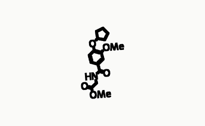 COC(=O)CNC(=O)c1ccc(OC2CCCC2)c(OC)c1